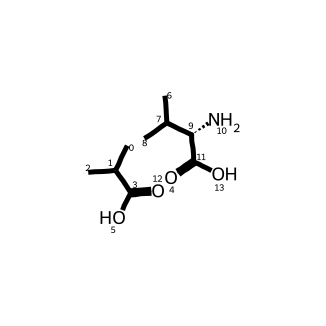 CC(C)C(=O)O.CC(C)[C@H](N)C(=O)O